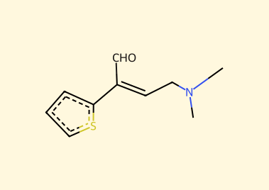 CN(C)C/C=C(\C=O)c1cccs1